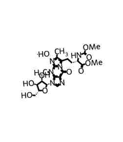 COC(=O)N[C@@H](CCc1c(C)nc2n(C)c3c(ncn3[C@@H]3O[C@H](CO)[C@@H](O)[C@H]3O)c(=O)n12)C(=O)OC.[OH]